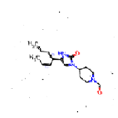 C=C/C=C(\C=C/C)c1cn(C2CCN(C=O)CC2)c(=O)[nH]1